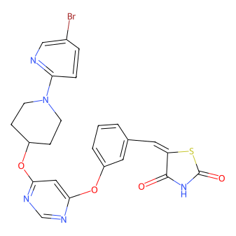 O=C1NC(=O)/C(=C\c2cccc(Oc3cc(OC4CCN(c5ccc(Br)cn5)CC4)ncn3)c2)S1